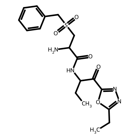 CCc1nnc(C(=O)C(CC)NC(=O)C(N)CS(=O)(=O)Cc2ccccc2)o1